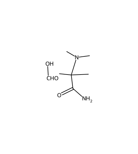 CN(C)C(C)(C)C(N)=O.O=CO